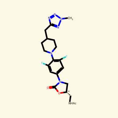 CC(=O)NC[C@H]1CN(c2cc(F)c(N3CCC(Cc4nnn(C)n4)CC3)c(F)c2)C(=O)O1